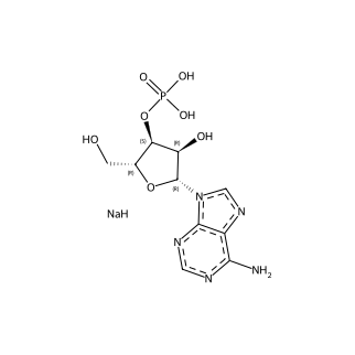 Nc1ncnc2c1ncn2[C@@H]1O[C@H](CO)[C@@H](OP(=O)(O)O)[C@H]1O.[NaH]